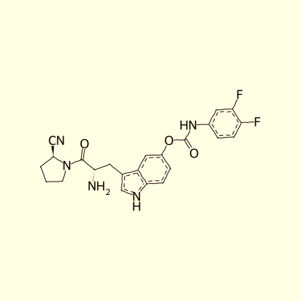 N#C[C@@H]1CCCN1C(=O)[C@@H](N)Cc1c[nH]c2ccc(OC(=O)Nc3ccc(F)c(F)c3)cc12